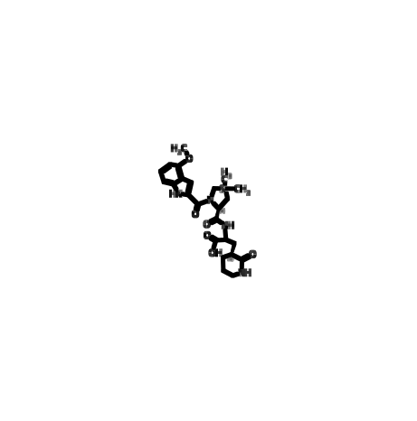 COc1cccc2[nH]c(C(=O)N3C[Si](C)(C)C[C@H]3C(=O)NC(C[C@@H]3CCCNC3=O)C(=O)O)cc12